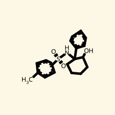 Cc1ccc(S(=O)(=O)NC2(c3ccccc3)CCCCC2O)cc1